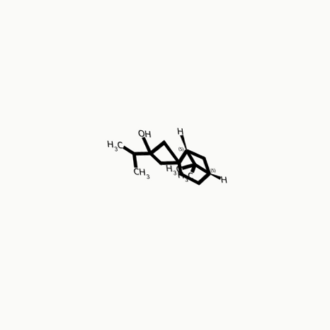 CC(C)C1(O)CC2(CC[C@H]3C[C@@H]2C3(C)C)C1